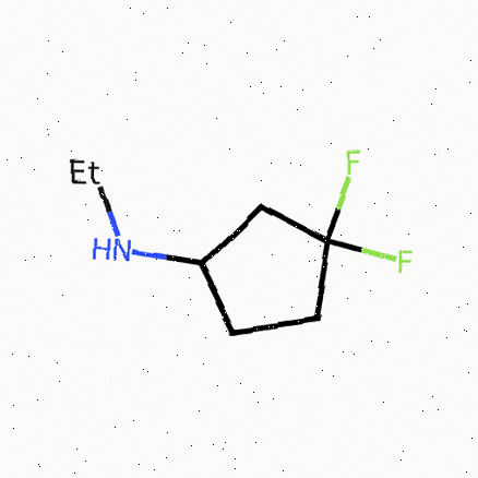 CCNC1CCC(F)(F)C1